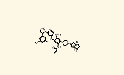 C=CC(=O)Nc1cc(Nc2cc(N3OCC[C@@H]3c3cc(F)cc(Cl)c3)ncn2)c(OC)cc1N1CCC(N2C[C@H]3CCN(C)[C@H]3C2)CC1